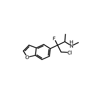 CNC(C)C(F)(CCl)c1ccc2occc2c1